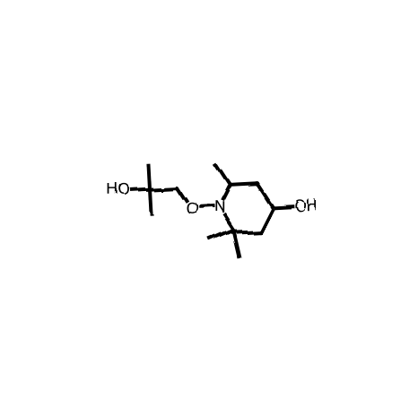 CC1CC(O)CC(C)(C)N1OCC(C)(C)O